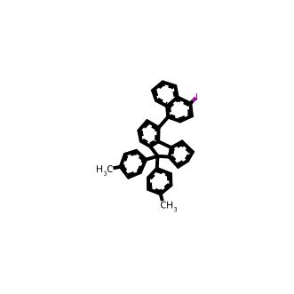 Cc1ccc(C2(c3ccc(C)cc3)c3ccccc3-c3c(-c4ccc(I)c5ccccc45)cccc32)cc1